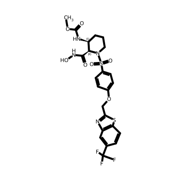 COC(=O)N[C@H]1CCCN(S(=O)(=O)c2ccc(OCc3nc4cc(C(F)(F)F)ccc4s3)cc2)[C@H]1C(=O)NO